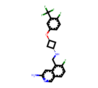 Nc1cc2c(CN[C@H]3C[C@H](Oc4ccc(F)c(C(F)(F)F)c4)C3)c(F)ccc2cn1